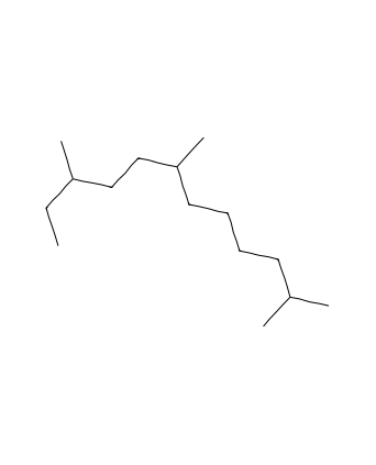 CCC(C)CCC(C)CCCCC(C)C